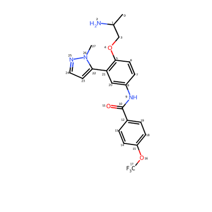 CC(N)COc1ccc(NC(=O)c2ccc(OC(F)(F)F)cc2)cc1-c1ccnn1C